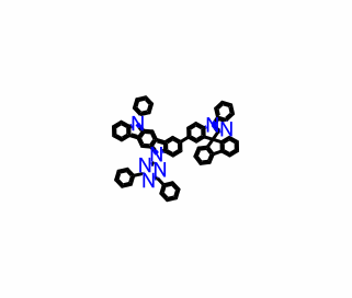 c1ccc(-c2nc(-c3ccccc3)nc(-n3c4ccc(-c5ccc6c(c5)C5(c7ccccc7-c7ccccc75)c5nc7ccccc7n5-6)cc4c4cc5c(cc43)c3ccccc3n5-c3ccccc3)n2)cc1